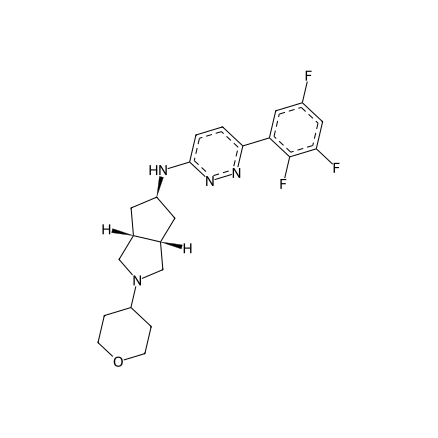 Fc1cc(F)c(F)c(-c2ccc(N[C@H]3C[C@@H]4CN(C5CCOCC5)C[C@@H]4C3)nn2)c1